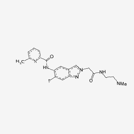 CNCCNC(=O)Cn1cc2cc(NC(=O)c3cccc(C)n3)c(F)cc2n1